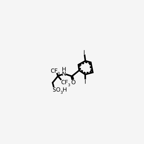 O=C(NC(CS(=O)(=O)O)(C(F)(F)F)C(F)(F)F)c1cc(I)ccc1I